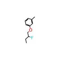 CCC(F)COc1cccc(C)c1